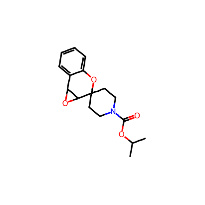 CC(C)OC(=O)N1CCC2(CC1)Oc1ccccc1C1OC12